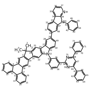 CC1(C)c2cc3c4ccccc4c4ccccc4c3cc2-c2cc3c(cc21)c1cc(-c2ccc4c5cccnc5n(-c5ccccc5)c4c2)ccc1n3-c1cccc(-c2nc(-c3ccccc3)cc(-c3ccccc3)n2)c1